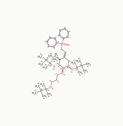 C=C1/C(=C\CP(=O)(c2ccccc2)c2ccccc2)C[C@@H](O[Si](C)(C)C(C)(C)C)[C@@H](OCCCO[Si](C)(C)C(C)(C)C)[C@@H]1O[Si](C)(C)C(C)(C)C